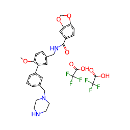 COc1ccc(CNC(=O)c2ccc3c(c2)OCO3)cc1-c1cccc(CN2CCNCC2)c1.O=C(O)C(F)(F)F.O=C(O)C(F)(F)F